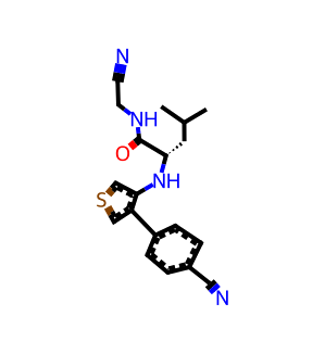 CC(C)C[C@H](Nc1cscc1-c1ccc(C#N)cc1)C(=O)NCC#N